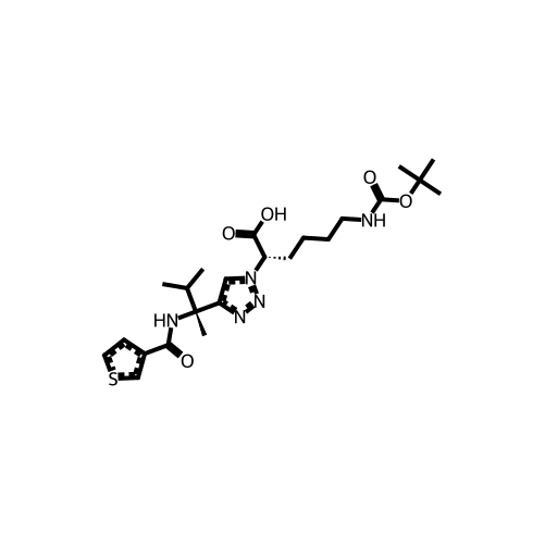 CC(C)[C@@](C)(NC(=O)c1ccsc1)c1cn([C@@H](CCCCNC(=O)OC(C)(C)C)C(=O)O)nn1